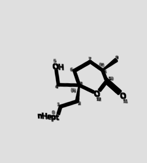 CCCCCCCCC[C@@]1(CO)CC[C@@H](C)C(=O)O1